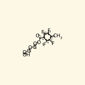 Cc1c(F)c(F)c(C(=O)OOOOOOO)c(F)c1F